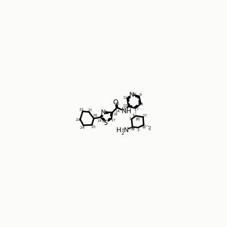 C[C@@H]1C[C@@H](N)C[C@H](c2ccncc2NC(=O)c2csc(C3CCCCC3)n2)C1